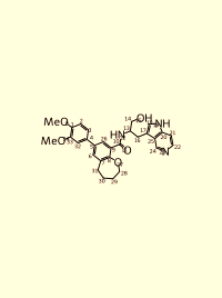 COc1ccc(-c2cc3c(c(C(=O)NC(CO)Cc4c[nH]c5ccncc45)c2)OCCCC3)cc1OC